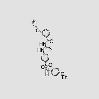 CCOc1ccc(NS(=O)(=O)c2ccc(NC(=S)NC(=O)c3cccc(OCCC(C)C)c3)cc2)cc1